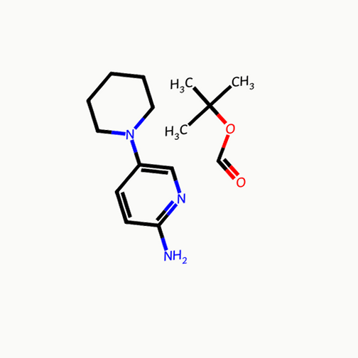 CC(C)(C)OC=O.Nc1ccc(N2CCCCC2)cn1